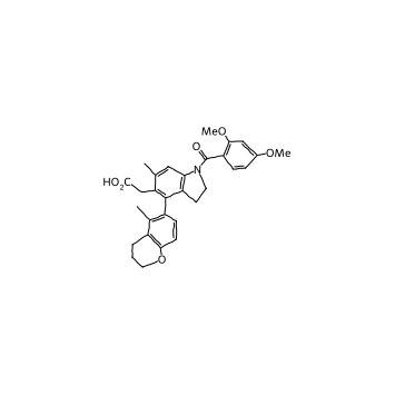 COc1ccc(C(=O)N2CCc3c2cc(C)c(CC(=O)O)c3-c2ccc3c(c2C)CCCO3)c(OC)c1